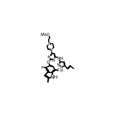 C/C=C/c1cc(Nc2cc(N3CCN(CCOC)CC3)nc(Oc3cc(F)c4[nH]c(C)cc4c3F)n2)n[nH]1